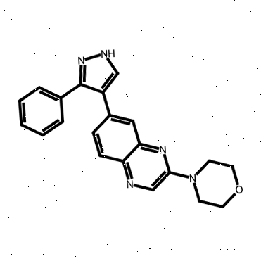 c1ccc(-c2n[nH]cc2-c2ccc3ncc(N4CCOCC4)nc3c2)cc1